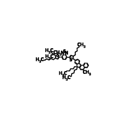 CCCCCCc1cc(-c2ccc(-c3cc(CCCCCC)c(C(C)(C)CC)s3)c3nsnc23)sc1-c1ccc2c(c1)C(CCCCCC)(CCCCCC)c1cc(C)c3ccccc3c1-2